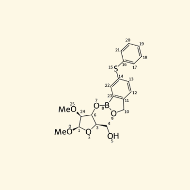 CO[C@@H]1O[C@H](CO)C(OB2OCc3ccc(Sc4ccccc4)cc32)[C@@H]1OC